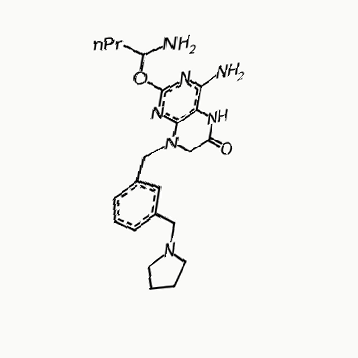 CCCC(N)Oc1nc(N)c2c(n1)N(Cc1cccc(CN3CCCC3)c1)CC(=O)N2